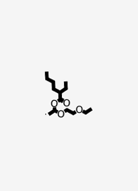 [CH2]C(OCCOCC)OC(=O)C(CC)CCCC